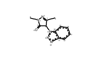 CC1=NN(C)C(=O)C1n1nnc2ccccc21